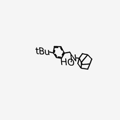 CC(C)(C)c1ccc(CN(O)C23CC4CC(CC(C4)C2)C3)cc1